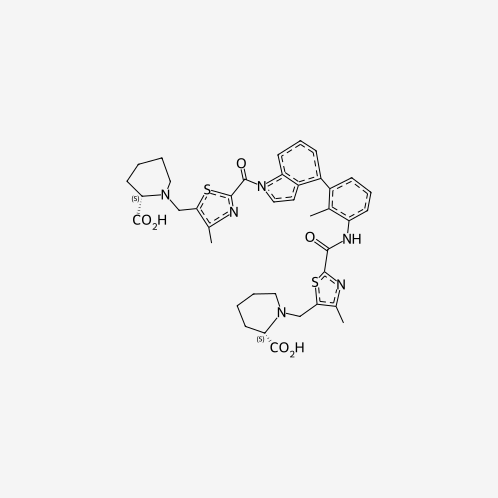 Cc1nc(C(=O)Nc2cccc(-c3cccc4c3ccn4C(=O)c3nc(C)c(CN4CCCC[C@H]4C(=O)O)s3)c2C)sc1CN1CCCC[C@H]1C(=O)O